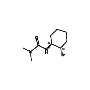 CN(C)C(=O)N[C@H]1CCCC[C@@H]1Br